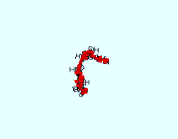 COc1cc(N2CCC(NC(=O)CCCCCC(=O)NC(C(=O)N3C[C@H](O)C[C@H]3C(=O)NCc3ccc(-c4scnc4C)cc3)C(C)(C)C)CC2)ccc1Nc1ncc(Cl)c(Nc2ccccc2P(C)(C)=O)n1